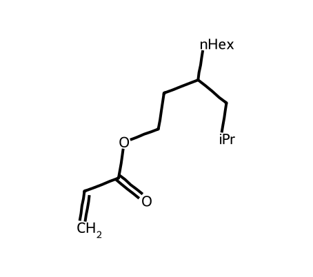 C=CC(=O)OCCC(CCCCCC)CC(C)C